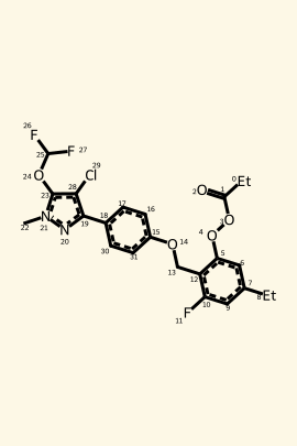 CCC(=O)OOc1cc(CC)cc(F)c1COc1ccc(-c2nn(C)c(OC(F)F)c2Cl)cc1